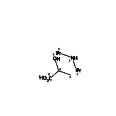 CC(C)NC(C)C.CC(O)C(=O)O